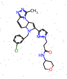 Cc1nnc2n1C1C=C(c3ccn(CCC(=O)NC4CCOCC4)n3)N(Cc3cccc(Cl)c3)C1C=C2